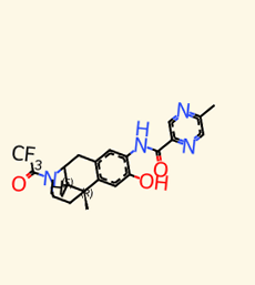 Cc1cnc(C(=O)Nc2cc3c(cc2O)[C@]2(C)CCN(C(=O)C(F)(F)F)C(C3)[C@H]2C)cn1